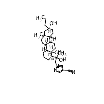 CCC[C@@]1(O)CC[C@@H]2[C@H]3CC[C@@]4(C)[C@@H](CCC[C@@H]4[C@](C)(O)Cn4cc(C#N)cn4)[C@@H]3CC[C@]2(C)C1